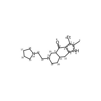 CCc1c(C)[nH]c2c1C(=O)C1CN(CCN3CCCC3)CCC1C2